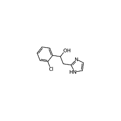 OC(Cc1ncc[nH]1)c1ccccc1Cl